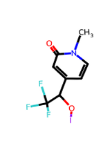 Cn1ccc(C(OI)C(F)(F)F)cc1=O